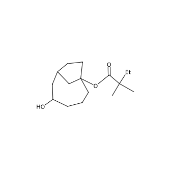 CCC(C)(C)C(=O)OC12CCCC(O)CC(CC1)C2